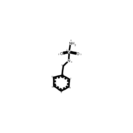 NS(=O)(=O)[N]Cc1ccccc1